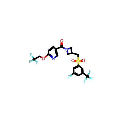 O=C(c1ccc(OCC(F)(F)F)nc1)N1CC(CS(=O)(=O)c2cc(F)cc(C(F)(F)F)c2)C1